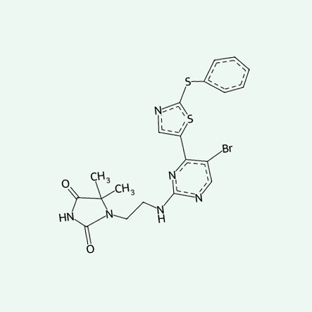 CC1(C)C(=O)NC(=O)N1CCNc1ncc(Br)c(-c2cnc(Sc3ccccc3)s2)n1